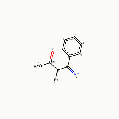 CCC(C(=N)c1ccccc1)C(=O)OC(C)=O